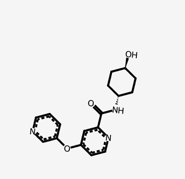 O=C(N[C@H]1CC[C@H](O)CC1)c1cc(Oc2cccnc2)ccn1